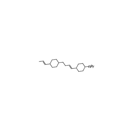 CC=CC1CCC(CC/C=C/C2CCC(CCC)CC2)CC1